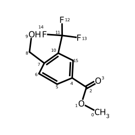 COC(=O)c1ccc(CO)c(C(F)(F)F)c1